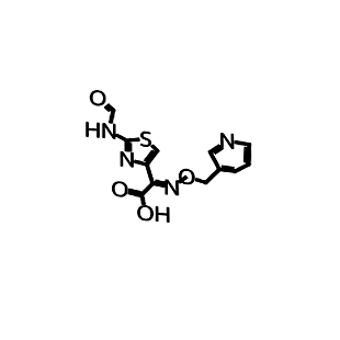 O=CNc1nc(/C(=N\OCc2cccnc2)C(=O)O)cs1